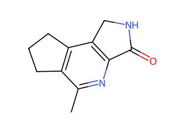 Cc1nc2c(c3c1CCC3)CNC2=O